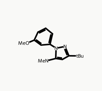 CNc1cc(C(C)(C)C)nn1-c1cccc(OC)c1